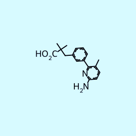 Cc1ccc(N)nc1-c1cccc(CC(C)(C)C(=O)O)c1